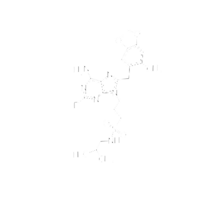 Cc1cc2c(cc1Cc1nc3c(N)nc(F)nc3n1CCCS(=O)(=O)NCC(C)C)OCO2